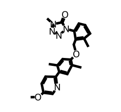 COc1ccc(-c2cc(C)c(OCc3c(C)cccc3-n3nnn(C)c3=O)cc2C)nc1